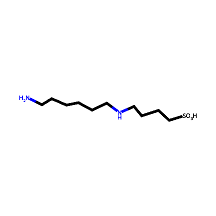 NCCCCCCNCCCCS(=O)(=O)O